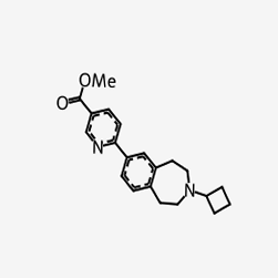 COC(=O)c1ccc(-c2ccc3c(c2)CCN(C2CCC2)CC3)nc1